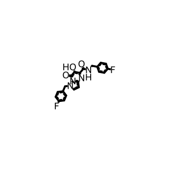 O=C(NCc1ccc(F)cc1)c1nc2ccn(Cc3ccc(F)cc3)n2c(=O)c1O